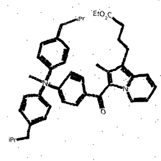 CCOC(=O)CCCc1c(C)c(C(=O)c2ccc([N+](C)(c3ccc(CC(C)C)cc3)c3ccc(CC(C)C)cc3)cc2)n2ccccc12